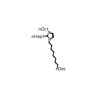 CCCCCCCCCCCCCCCCCCN1C=CN(CCCCCCCC)C1CCCCCCC